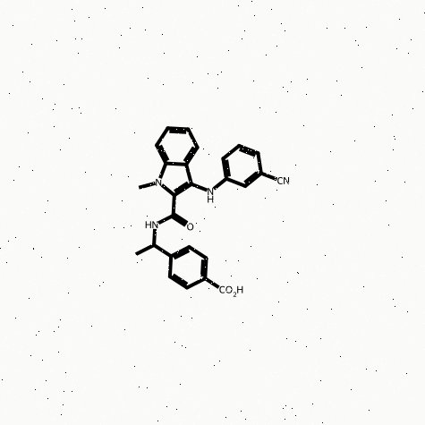 CC(NC(=O)c1c(Nc2cccc(C#N)c2)c2ccccc2n1C)c1ccc(C(=O)O)cc1